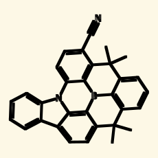 CC1(C)c2cccc3c2B2c4c(ccc(C#N)c4C3(C)C)-n3c4ccccc4c4ccc1c2c43